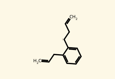 C=CC[C]c1ccccc1CC=C